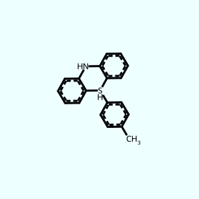 Cc1ccc([SH]2c3ccccc3Nc3ccccc32)cc1